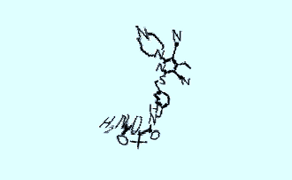 CCc1c(C#N)c(SCc2ccc(CNC(=O)C(OC(N)=O)C(C)(C)C)cc2)nc(N2CCCN(C)CC2)c1C#N